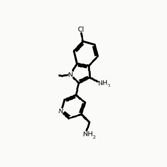 Cn1c(-c2cncc(CN)c2)c(N)c2ccc(Cl)cc21